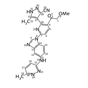 COCC(=O)c1ccc(-n2cnc3cc(Nc4ccc(C)nn4)ccc32)nc1-c1c(C#N)n[nH]c1C